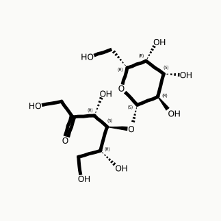 O=C(CO)[C@H](O)[C@@H](O[C@@H]1O[C@H](CO)[C@H](O)[C@H](O)[C@H]1O)[C@H](O)CO